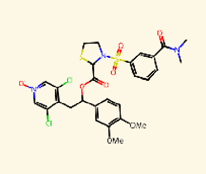 COc1ccc(C(Cc2c(Cl)c[n+]([O-])cc2Cl)OC(=O)C2SCCN2S(=O)(=O)c2cccc(C(=O)N(C)C)c2)cc1OC